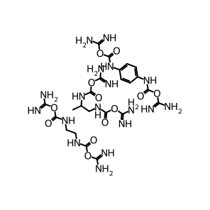 CC(CNC(=O)OC(=N)N)NC(=O)OC(=N)N.N=C(N)OC(=O)NCCNC(=O)OC(=N)N.N=C(N)OC(=O)Nc1ccc(NC(=O)OC(=N)N)cc1